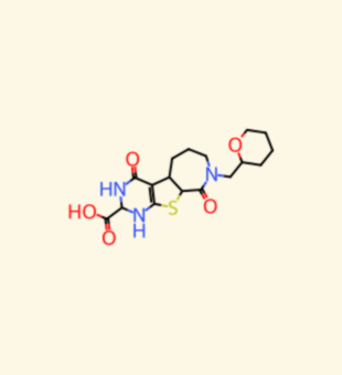 O=C1NC(C(=O)O)NC2=C1C1CCCN(CC3CCCCO3)C(=O)C1S2